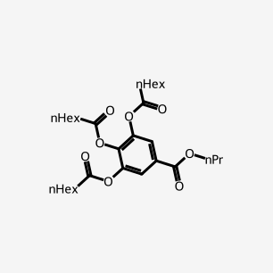 CCCCCCC(=O)Oc1cc(C(=O)OCCC)cc(OC(=O)CCCCCC)c1OC(=O)CCCCCC